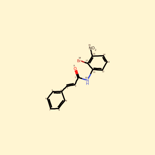 O=C(C=Cc1ccccc1)Nc1cccc([N+](=O)[O-])c1Br